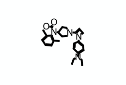 CCN(CC)c1ccc(N2CC=C2N2CCC(N3C(=O)OCc4cccc(C)c43)CC2)cc1